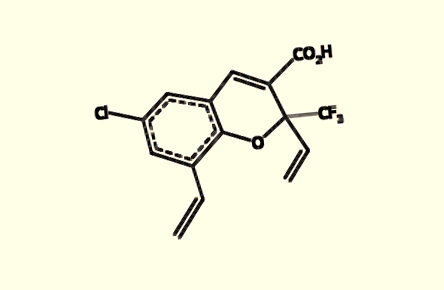 C=Cc1cc(Cl)cc2c1OC(C=C)(C(F)(F)F)C(C(=O)O)=C2